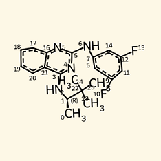 C[C@@H](Nc1nc(Nc2cc(F)cc(F)c2)nc2ccccc12)C(C)(C)C